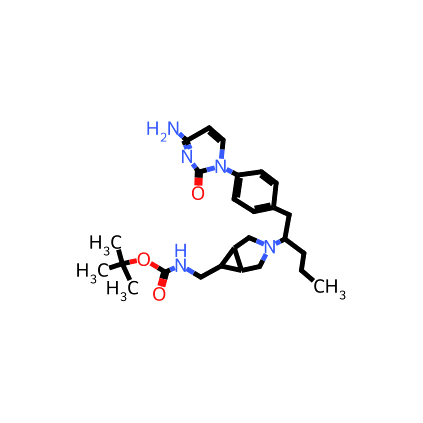 CCCC(Cc1ccc(-n2ccc(N)nc2=O)cc1)N1CC2C(CNC(=O)OC(C)(C)C)C2C1